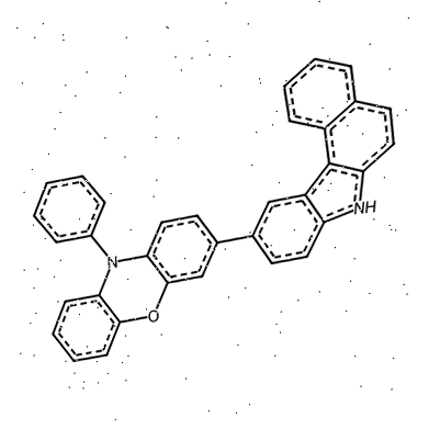 c1ccc(N2c3ccccc3Oc3cc(-c4ccc5[nH]c6ccc7ccccc7c6c5c4)ccc32)cc1